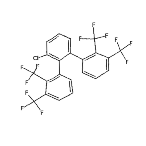 FC(F)(F)c1cccc(-c2cccc(Cl)c2-c2cccc(C(F)(F)F)c2C(F)(F)F)c1C(F)(F)F